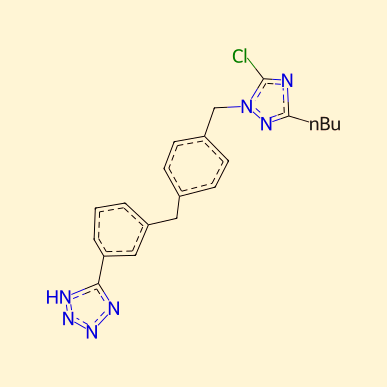 CCCCc1nc(Cl)n(Cc2ccc(Cc3cccc(-c4nnn[nH]4)c3)cc2)n1